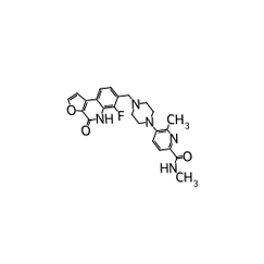 CNC(=O)c1ccc(N2CCN(Cc3ccc4c([nH]c(=O)c5occc54)c3F)CC2)c(C)n1